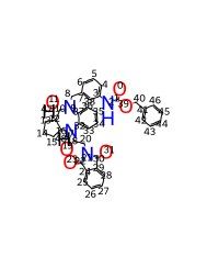 O=C(Nc1cccc(CN2C(=O)[C@H]3CCC[C@H]3N(C(=O)CN3C(=O)c4ccccc4C3=O)c3ccccc32)c1)OCc1ccccc1